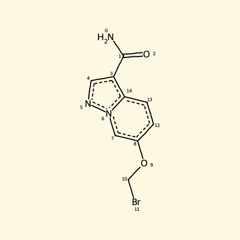 NC(=O)c1cnn2cc(OCBr)ccc12